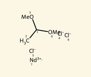 COC(C)OC.[Cl-].[Cl-].[Cl-].[Nd+3]